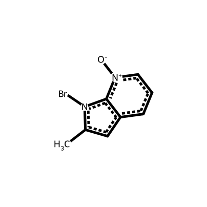 Cc1cc2ccc[n+]([O-])c2n1Br